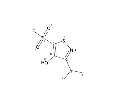 CC(C)c1nsc(S(C)(=O)=O)c1O